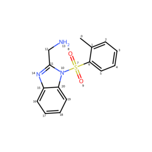 Cc1ccccc1S(=O)(=O)n1c(CN)nc2ccccc21